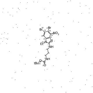 CCn1c(NCCCNC(=O)OC(C)(C)C)nc2c([N+](=O)[O-])c(Br)c(Br)cc21